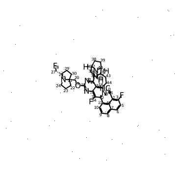 C#Cc1c(F)ccc2cccc(-c3nc4c5c(nc(OC[C@@]67CCCN6[C@H](CF)CC7)nc5c3F)N3C[C@H]5CC[C@H](N5)[C@H]3CC4)c12